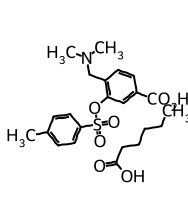 CCCCCC(=O)O.Cc1ccc(S(=O)(=O)Oc2cc(C(=O)O)ccc2CN(C)C)cc1